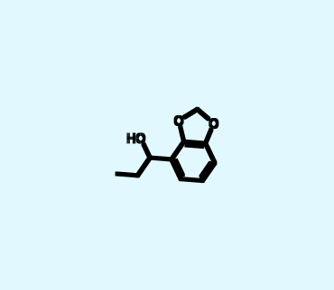 CCC(O)c1cccc2c1OCO2